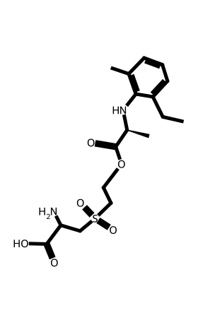 CCc1cccc(C)c1N[C@@H](C)C(=O)OCCS(=O)(=O)CC(N)C(=O)O